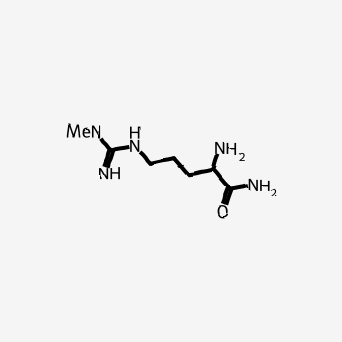 CNC(=N)NCCCC(N)C(N)=O